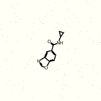 O=C(NC1CC1)c1ccc2ocnc2c1